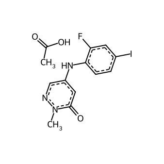 CC(=O)O.Cn1ncc(Nc2ccc(I)cc2F)cc1=O